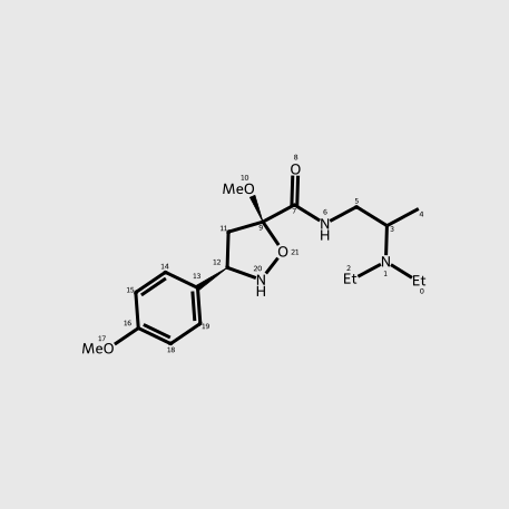 CCN(CC)C(C)CNC(=O)[C@@]1(OC)C[C@H](c2ccc(OC)cc2)NO1